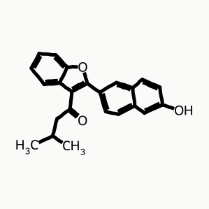 CC(C)CC(=O)c1c(-c2ccc3cc(O)ccc3c2)oc2ccccc12